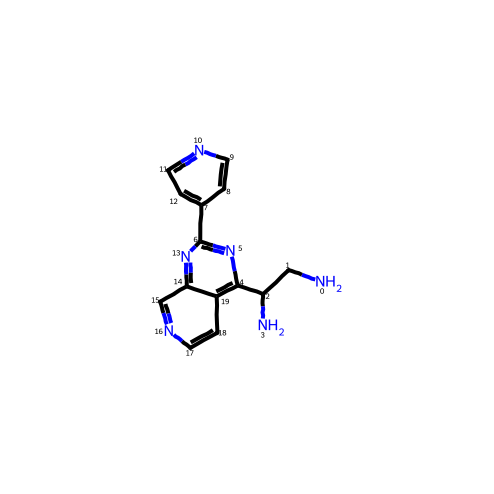 NCC(N)c1nc(-c2ccncc2)nc2cnccc12